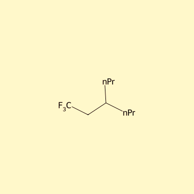 CCCC(CCC)CC(F)(F)F